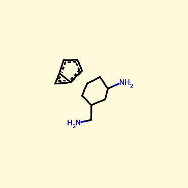 NCC1CCCC(N)C1.c1cc2cc-2c1